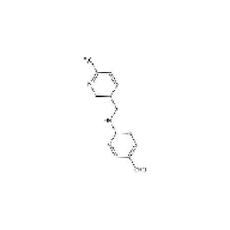 O=Cc1cnc(NCc2ccc(C(F)(F)F)nc2)nc1